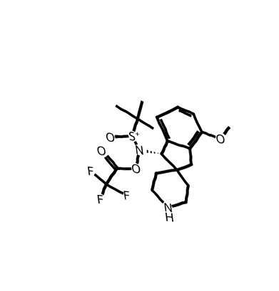 COc1cccc2c1CC1(CCNCC1)[C@@H]2N(OC(=O)C(F)(F)F)[S+]([O-])C(C)(C)C